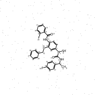 CC(NC(=O)N(S)c1ccc(NC(=O)c2ccccc2F)c(OCc2ccccc2)c1)c1ccc(F)cc1